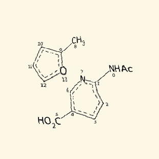 CC(=O)Nc1ccc(C(=O)O)cn1.Cc1ccco1